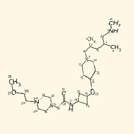 CNCC(C)CC(C)CN1CCC(OC2CC(NC(=O)CN3CCN(CCOC)CC3)C2)CC1